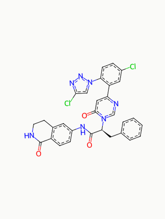 O=C1NCCc2cc(NC(=O)[C@H](Cc3ccccc3)n3cnc(-c4cc(Cl)ccc4-n4cc(Cl)nn4)cc3=O)ccc21